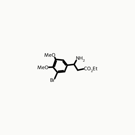 CCOC(=O)CC(N)c1cc(Br)c(OC)c(OC)c1